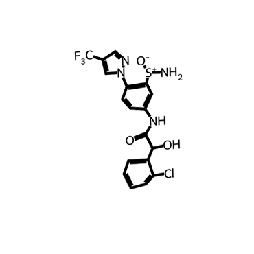 N[S+]([O-])c1cc(NC(=O)C(O)c2ccccc2Cl)ccc1-n1cc(C(F)(F)F)cn1